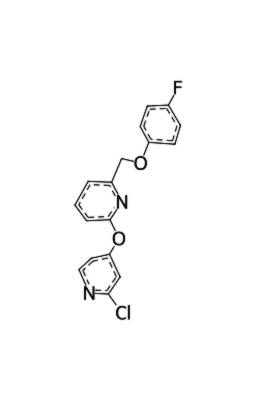 Fc1ccc(OCc2cccc(Oc3ccnc(Cl)c3)n2)cc1